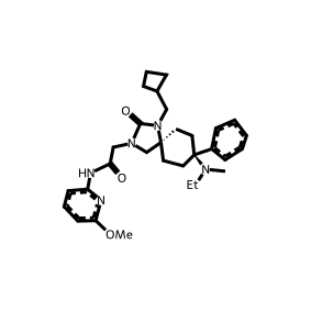 CCN(C)[C@]1(c2ccccc2)CC[C@]2(CC1)CN(CC(=O)Nc1cccc(OC)n1)C(=O)N2CC1CCC1